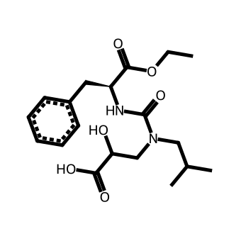 CCOC(=O)[C@H](Cc1ccccc1)NC(=O)N(CC(C)C)CC(O)C(=O)O